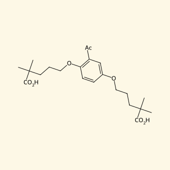 CC(=O)c1cc(OCCCC(C)(C)C(=O)O)ccc1OCCCC(C)(C)C(=O)O